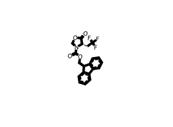 O=C1OCN(C(=O)OCC2c3ccccc3-c3ccccc32)[C@H]1CC(F)(F)F